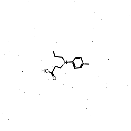 CCCN(CCC(=O)O)c1ccc(C)cc1